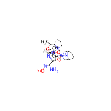 C[C@H](Oc1nc(/C(N)=N/O)cc(N2CC3CCC(C2)N3C(=O)OC(C)(C)C)n1)[C@@H]1CCCN1C